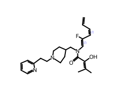 C=C/C=C\C(F)=C\N(CC1CCN(CCc2ccccn2)CC1)C(=O)C(O)=C(C)C